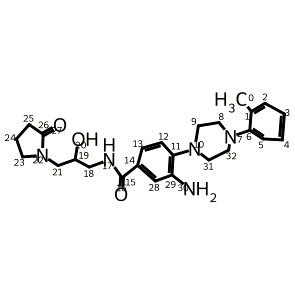 Cc1ccccc1N1CCN(c2ccc(C(=O)NCC(O)CN3CCCC3=O)cc2N)CC1